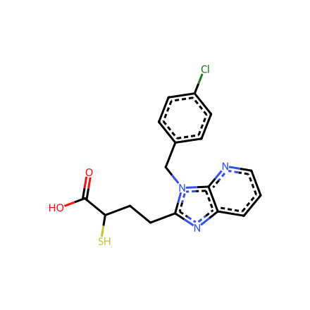 O=C(O)C(S)CCc1nc2cccnc2n1Cc1ccc(Cl)cc1